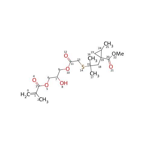 C=C(C)C(=O)OCC(O)COC(=O)CSC(C)(C)CC1(C(=O)OC)CC1C